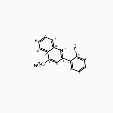 COc1cc(-c2ccccc2F)nc2ccccc12